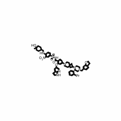 CC(C)c1ccccc1[C@@H]1CN(Cc2ccc3c(c2)OCC3)CCN1C1CC2(CCN(c3ccc(C(=O)NS(=O)(=O)c4ccc(NCC5CCC(C)(O)CC5)c([N+](=O)[O-])c4)c(Oc4cnc5[nH]ccc5c4)c3)CC2)C1